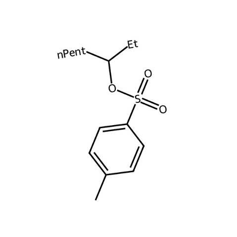 CCCCCC(CC)OS(=O)(=O)c1ccc(C)cc1